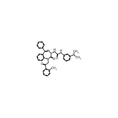 Cc1ccccc1C(=O)CN1C(=O)[C@H](NC(=O)Nc2cccc(N(C)C)c2)N=C(c2ccccc2)c2ccccc21